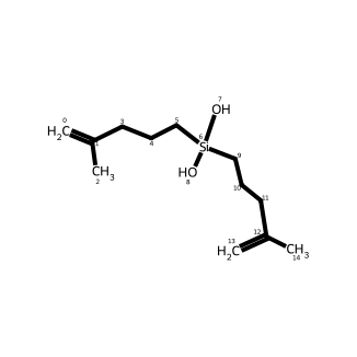 C=C(C)CCC[Si](O)(O)CCCC(=C)C